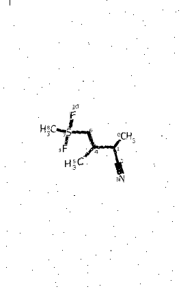 CC(C#N)C(C)CS(C)(F)F